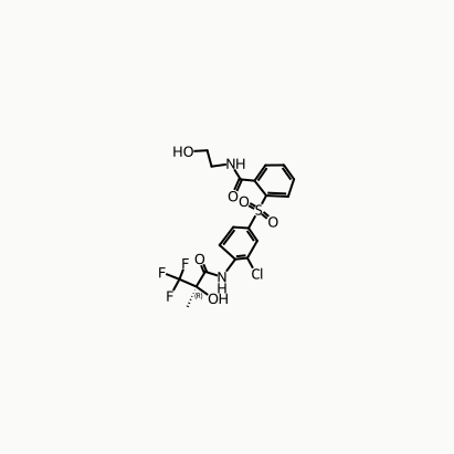 C[C@@](O)(C(=O)Nc1ccc(S(=O)(=O)c2ccccc2C(=O)NCCO)cc1Cl)C(F)(F)F